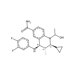 CC(O)N1c2ccc(C(N)=O)cc2[C@H](Nc2ccc(F)c(F)c2)[C@@H](C)[C@@H]1C1CC1